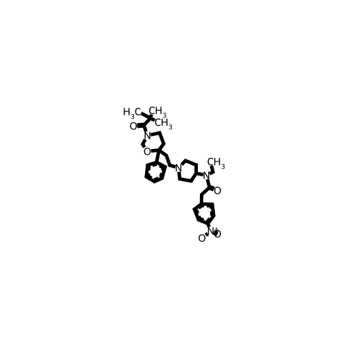 CCN(C(=O)Cc1ccc([N+](=O)[O-])cc1)C1CCN(CCC2(c3ccccc3)CCN(C(=O)C(C)(C)C)CO2)CC1